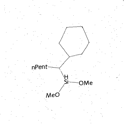 CCCCCC(C1CCCCC1)[SiH](OC)OC